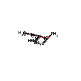 CCCCCCCCC(CCCCCCCC)OC(=O)CCCCCCCN(CCCCCCCC(=O)OCCCCCCCCC(C)C)CCOC(=O)CCCN(C)CCO